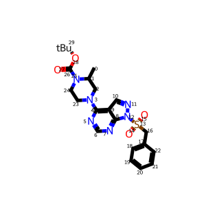 CC1CN(c2ncnc3c2cnn3S(=O)(=O)Cc2ccccc2)CCN1C(=O)OC(C)(C)C